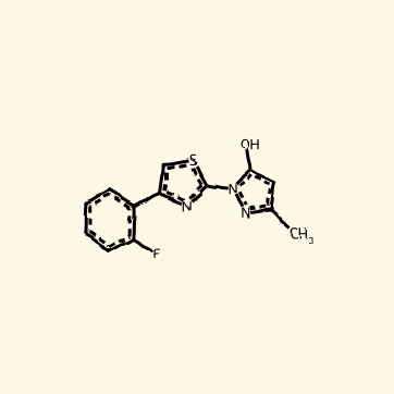 Cc1cc(O)n(-c2nc(-c3ccccc3F)cs2)n1